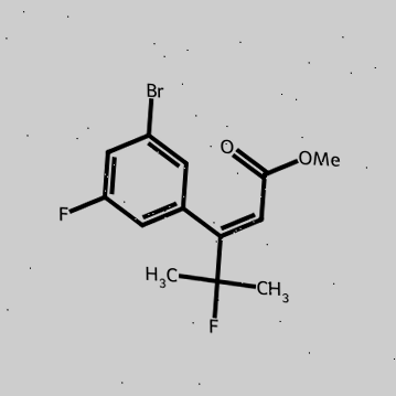 COC(=O)/C=C(\c1cc(F)cc(Br)c1)C(C)(C)F